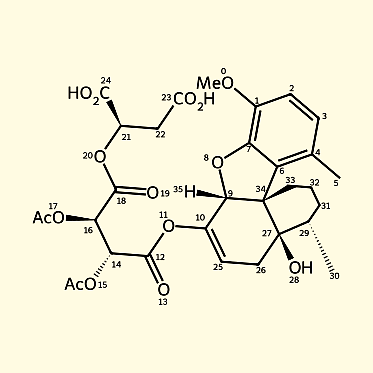 COc1ccc(C)c2c1O[C@H]1C(OC(=O)[C@H](OC(C)=O)[C@@H](OC(C)=O)C(=O)O[C@H](CC(=O)O)C(=O)O)=CC[C@@]3(O)[C@@H](C)CCC[C@]213